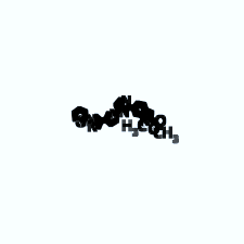 COC(=O)c1cc2ccc(-c3nccc(N4CCC(c5cnn(C6CCCCO6)c5)C4)n3)cc2n1C